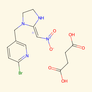 O=C(O)CCC(=O)O.O=[N+]([O-])/C=C1\NCCN1Cc1ccc(Br)nc1